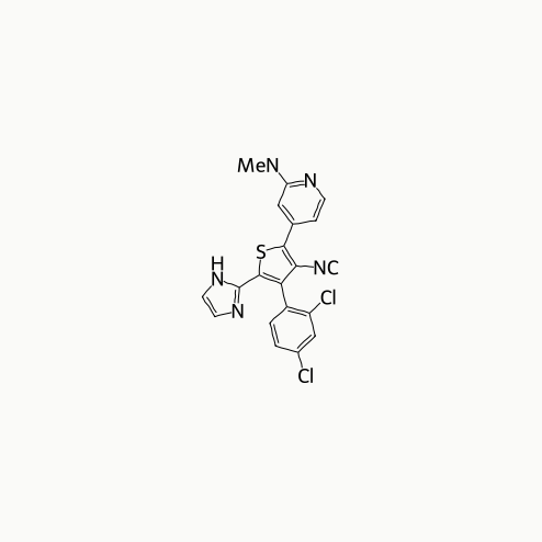 [C-]#[N+]c1c(-c2ccnc(NC)c2)sc(-c2ncc[nH]2)c1-c1ccc(Cl)cc1Cl